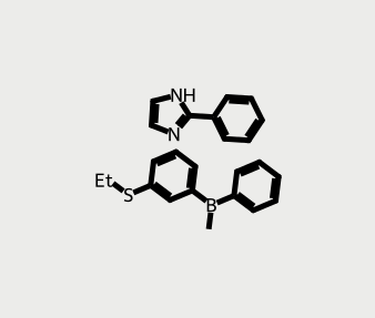 CCSc1cccc(B(C)c2ccccc2)c1.c1ccc(-c2ncc[nH]2)cc1